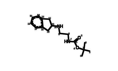 CC(C)(C)OC(=O)NCCNC1Cc2ccccc2C1